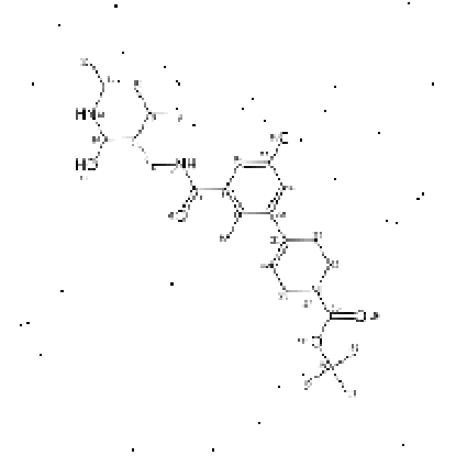 Cc1c(C(=O)NC[C@H]2C(C)CC(C)NC2O)cc(Cl)cc1C1=CCN(C(=O)OC(C)(C)C)CC1